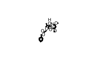 COc1cc(OC)nc(C(O)(C(=O)OCC(=O)OCc2ccccc2)C(C)C)n1